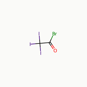 O=C(Br)C(I)(I)I